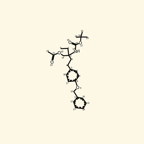 CCC(CCc1ccc(OCc2ccccc2)cc1)(COC(C)=O)NC(=O)OC(C)(C)C